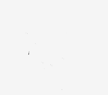 C=CC(=O)N1CCN(c2nc(=O)n(-c3c(C)ccnc3C(C)C)c3nc(-c4cccc5ccoc45)c(F)cc23)[C@@H](C)C1